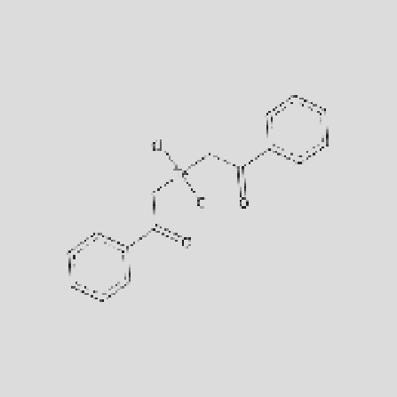 O=C(C[Te](Cl)(Cl)CC(=O)c1ccccc1)c1ccccc1